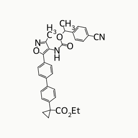 CCOC(=O)C1(c2ccc(-c3ccc(-c4onc(C)c4NC(=O)OC(C)c4ccc(C#N)cc4)cc3)cc2)CC1